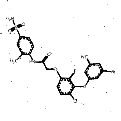 Cc1cc(S(N)(=O)=O)ccc1NC(=O)COc1ccc(Cl)c(Oc2cc(Br)cc(C#N)c2)c1F